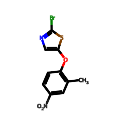 Cc1cc([N+](=O)[O-])ccc1Oc1cnc(Br)s1